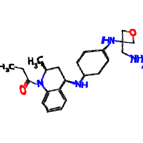 CCC(=O)N1c2ccccc2[C@H](NC2CCC(NC3(CN)COC3)CC2)C[C@@H]1C